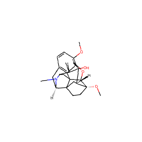 COc1ccc2c3c1OC1C34CCN(C)[C@H](C2)C42CC[C@@]1(OC)[C@@H]([C@@](C)(O)C(C)(C)C)C2